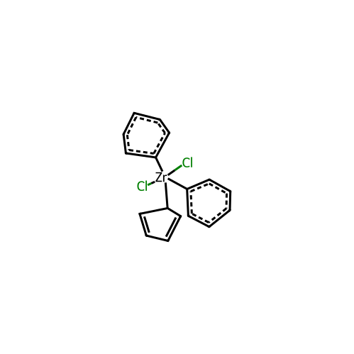 [Cl][Zr]([Cl])([c]1ccccc1)([c]1ccccc1)[CH]1C=CC=C1